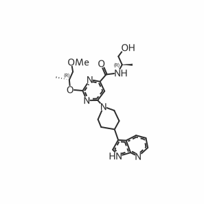 COC[C@@H](C)Oc1nc(C(=O)N[C@H](C)CO)cc(N2CCC(c3c[nH]c4ncccc34)CC2)n1